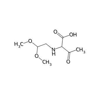 COC(CNC(C(C)=O)C(=O)O)OC